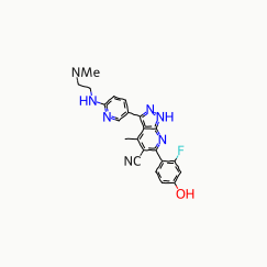 CNCCNc1ccc(-c2n[nH]c3nc(-c4ccc(O)cc4F)c(C#N)c(C)c23)cn1